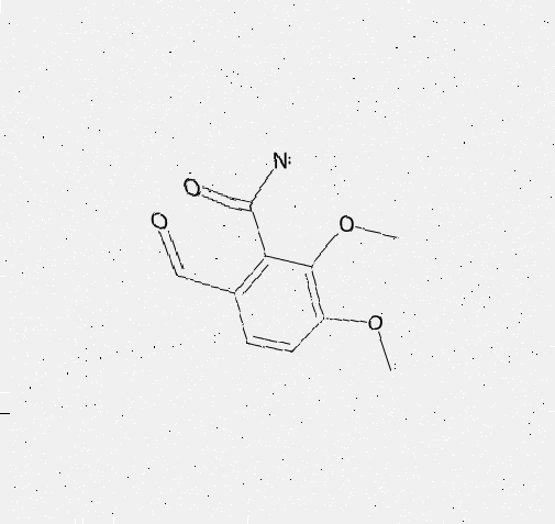 COc1ccc(C=O)c(C([N])=O)c1OC